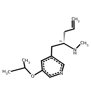 C=CC[C@@H](Cc1cncc(OC(C)C)c1)NC